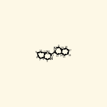 [c]1nc(-c2ncc3ccccc3n2)cc2ccccc12